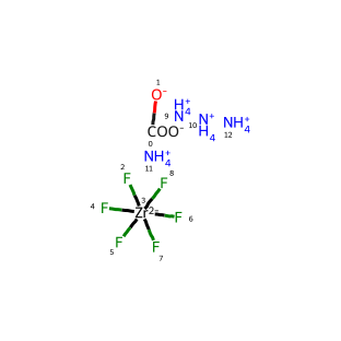 O=C([O-])[O-].[F][Zr-2]([F])([F])([F])([F])[F].[NH4+].[NH4+].[NH4+].[NH4+]